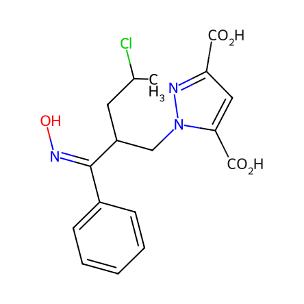 CC(Cl)CC(Cn1nc(C(=O)O)cc1C(=O)O)C(=NO)c1ccccc1